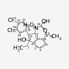 CCC(O)(c1cccc(SC)c1)C(CN(C)C(=O)O)c1ccc(Cl)c(Cl)c1